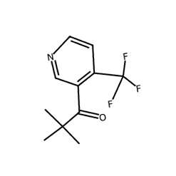 CC(C)(C)C(=O)c1cnccc1C(F)(F)F